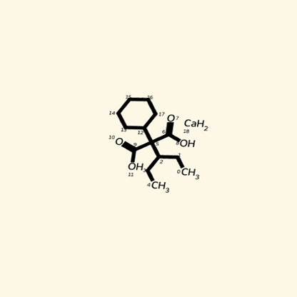 CCC(CC)C(C(=O)O)(C(=O)O)C1CCCCC1.[CaH2]